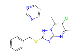 Cc1nc2nc(SCc3ccccc3)nn2c(C)c1Cl.c1cncnc1